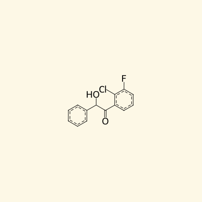 O=C(c1cccc(F)c1Cl)C(O)c1ccccc1